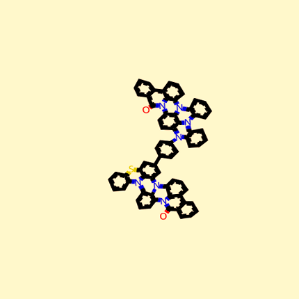 O=c1c2ccccc2c2cccc3c2n1c1cccc2c1-n3c1cc(-c3ccc(-n4c5ccccc5n5c6ccccc6n6c7cccc8c9ccccc9c(=O)n(c9ccc4c5c96)c87)cc3)cc3sc4ccccc4n2c31